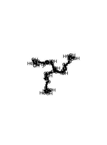 CC1C(OCCCCC(=O)N2CCC(OP(=O)(O)OCCCOCC(CO)(COCCCOP(=O)(O)OC3CCN(C(=O)CCCCOC4OC(CO)C(O)C(O)C4N)CC3)OCCCOP(=O)(O)OC3CCN(C(=O)CCCCOC4OC(CO)C(O)C(O)C4C)CC3)CC2)OC(CO)C(O)C1O